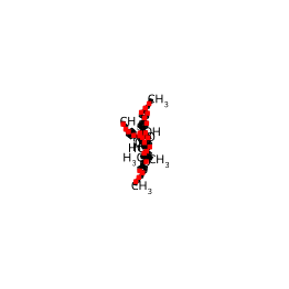 CCCCCC1CCC(COc2c(C)cc(-c3ccc4c(c3O)C(=O)c3c(Nc5ccc(CCCC)cc5)cc(-c5ccc(C6CCC(CCCCC)CC6)cc5)c(O)c3C4=O)cc2C)CC1